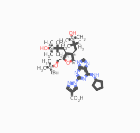 CC(C)(C[C@@H]1[C@H](CC(C)(C)[Si](C)(C)O)[C@@H](CO[Si](C)(C)C(C)(C)C)O[C@H]1n1cnc2c(NC3CCCC3)nc(-n3cc(C(=O)O)cn3)nc21)[Si](C)(C)O